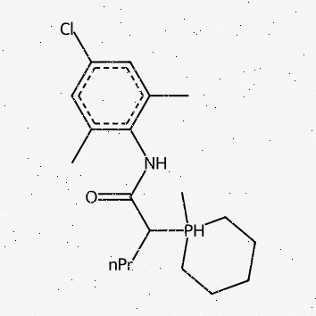 CCCC(C(=O)Nc1c(C)cc(Cl)cc1C)[PH]1(C)CCCCC1